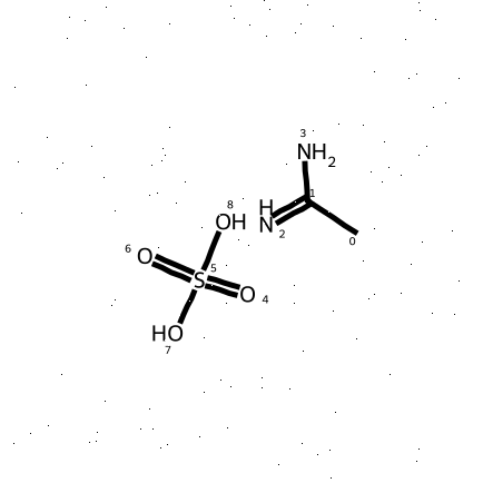 CC(=N)N.O=S(=O)(O)O